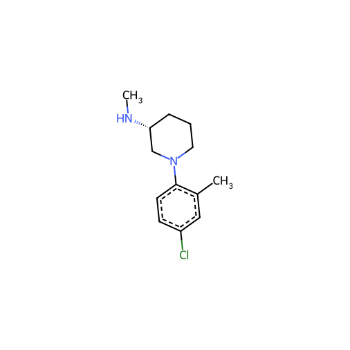 CN[C@@H]1CCCN(c2ccc(Cl)cc2C)C1